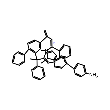 C=C(/C=C(/c1ccccc1)N(C)C(C)c1ccc(-c2ccc(N)cc2)cc1)c1ccc(-c2ccccc2)c(C(C)(c2ccccc2)c2ccccc2)c1